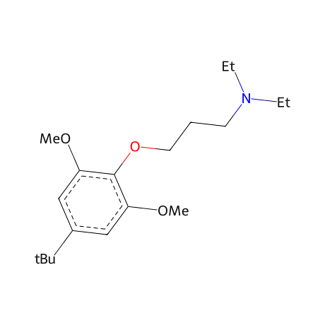 CCN(CC)CCCOc1c(OC)cc(C(C)(C)C)cc1OC